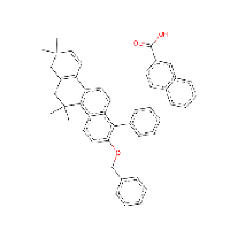 CC1(C)C=CC2=C(C1)CC(C)(C)c1c2ccc2c(-c3ccccc3)c(OCc3ccccc3)ccc12.O=C(O)c1ccc2ccccc2c1